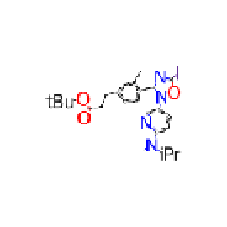 Cc1cc(CCC(=O)OC(C)(C)C)ccc1C1N=C(I)ON1c1ccc(N(C)C(C)C)nc1